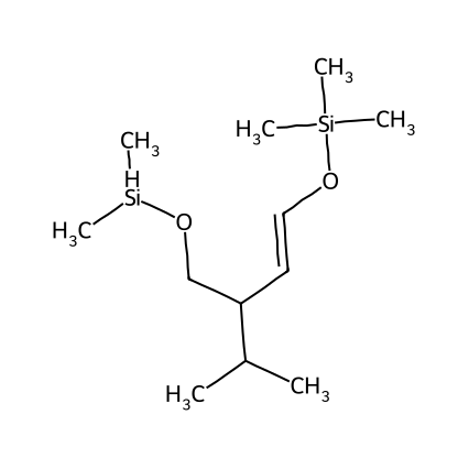 CC(C)C(C=CO[Si](C)(C)C)CO[SiH](C)C